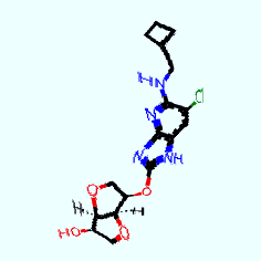 O[C@@H]1CO[C@H]2[C@@H]1OC[C@H]2Oc1nc2nc(NCC3CCC3)c(Cl)cc2[nH]1